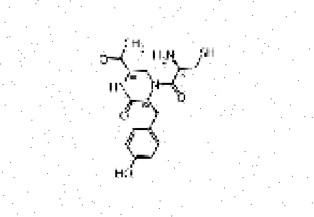 CC(=O)[C@H]1CN(C(=O)[C@@H](N)CS)[C@@H](Cc2ccc(O)cc2)C(=O)N1